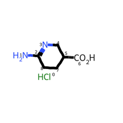 Cl.NC1=NCC(C(=O)O)CC1